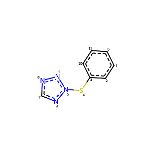 c1ccc(Sn2ncnn2)cc1